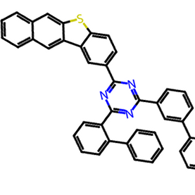 c1ccc(-c2cccc(-c3nc(-c4ccc5sc6cc7ccccc7cc6c5c4)nc(-c4ccccc4-c4ccccc4)n3)c2)cc1